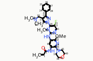 C=CC(=O)Nc1cc(NC2N=CC(F)=C(n3cc(CN(C)C)c(-c4ccccc4)n3)N2C)c(OC)nc1N1CCOCC1